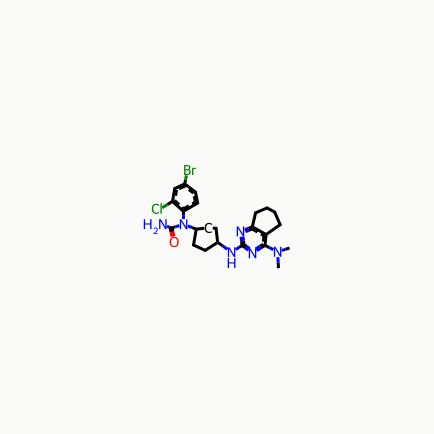 CN(C)c1nc(NC2CCC(N(C(N)=O)c3ccc(Br)cc3Cl)CC2)nc2c1CCCC2